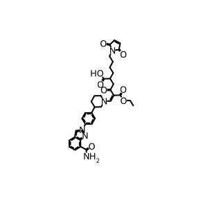 CCOC(=O)/C(=C/N1CCCC(c2ccc(-n3cc4cccc(C(N)=O)c4n3)cc2)C1)C(=O)CC(CCCCN1C(=O)C=CC1=O)C(=O)O